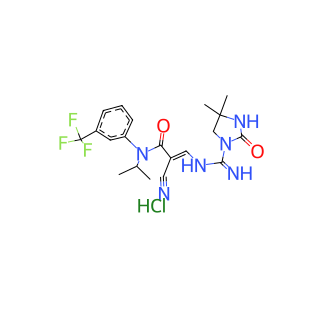 CC(C)N(C(=O)/C(C#N)=C/NC(=N)N1CC(C)(C)NC1=O)c1cccc(C(F)(F)F)c1.Cl